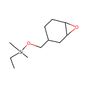 CC[Si](C)(C)OCC1CCC2OC2C1